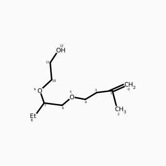 C=C(C)CCOCC(CC)OCCO